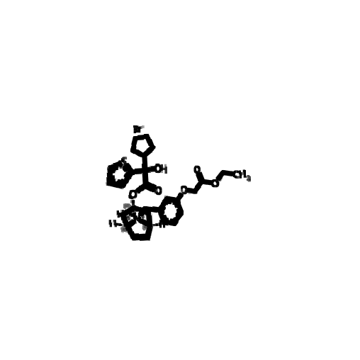 CCOC(=O)COc1cccc(C[N+]2(C)[C@@H]3C=C[C@H]2C[C@H](OC(=O)C(O)(c2cccs2)C2CCCC2)C3)c1.[Br-]